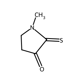 CN1CCC(=O)C1=S